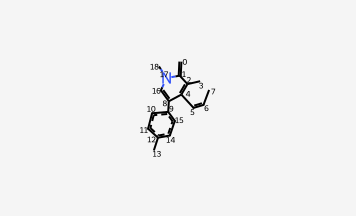 C=C1C(C)=C(/C=C\C)C(c2ccc(C)cc2)=CN1C